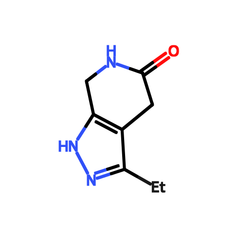 CCc1n[nH]c2c1CC(=O)NC2